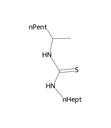 CCCCCCCNC(=S)NC(C)CCCCC